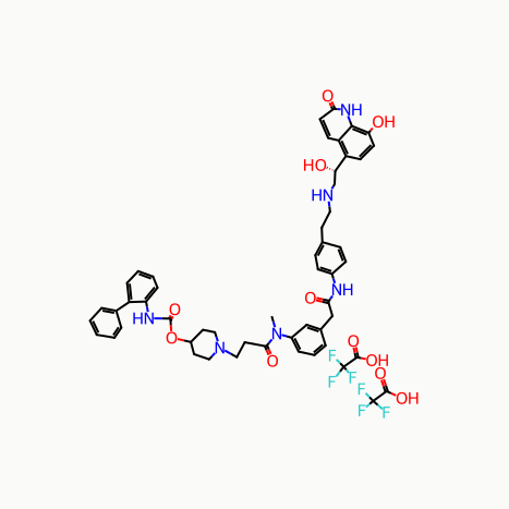 CN(C(=O)CCN1CCC(OC(=O)Nc2ccccc2-c2ccccc2)CC1)c1cccc(CC(=O)Nc2ccc(CCNC[C@H](O)c3ccc(O)c4[nH]c(=O)ccc34)cc2)c1.O=C(O)C(F)(F)F.O=C(O)C(F)(F)F